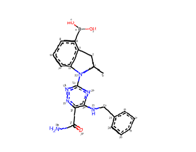 CC1Cc2c(B(O)O)cccc2N1c1nnc(C(N)=O)c(NCc2ccccc2)n1